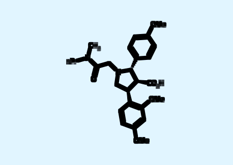 CCCN(C)C(=O)CN1C[C@H](c2ccc(OC)cc2OC)[C@H](C(=O)O)[C@H]1c1ccc(OC)cc1